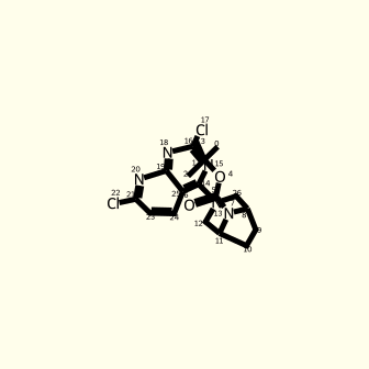 CC(C)(C)OC(=O)N1C2CCC1CN(c1nc(Cl)nc3nc(Cl)ccc13)C2